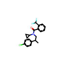 CC(CN(C(=O)c1ccccc1C(F)F)C1CC1)c1ccc(Cl)cc1